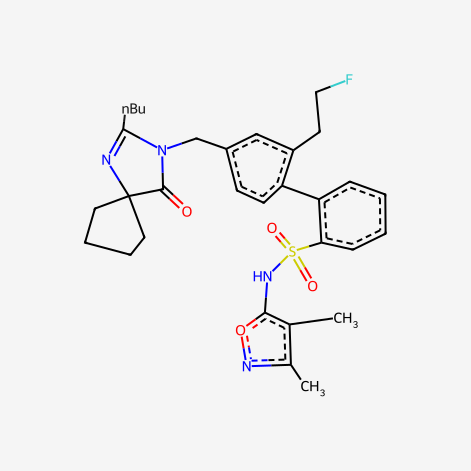 CCCCC1=NC2(CCCC2)C(=O)N1Cc1ccc(-c2ccccc2S(=O)(=O)Nc2onc(C)c2C)c(CCF)c1